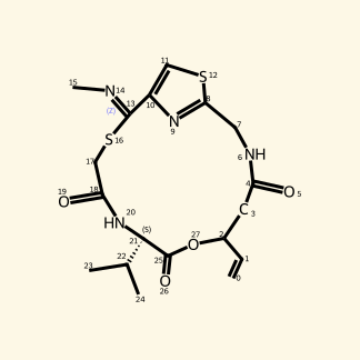 C=CC1CC(=O)NCc2nc(cs2)/C(=N/C)SCC(=O)N[C@@H](C(C)C)C(=O)O1